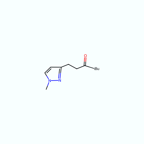 CCC(C)C(=O)CCc1ccn(C)n1